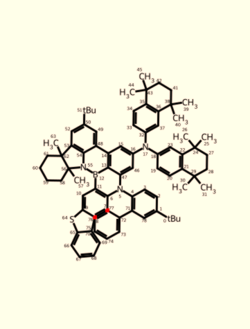 CC(C)(C)c1ccc(N2c3cc4c(cc3B3c5c(cc(N(c6ccc7c(c6)C(C)(C)CCC7(C)C)c6ccc7c(c6)C(C)(C)CCC7(C)C)cc52)-c2cc(C(C)(C)C)cc5c2N3C2(C)CCCCC52C)sc2ccccc24)c(-c2ccccc2)c1